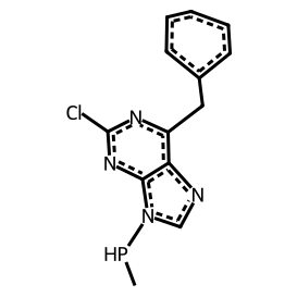 CPn1cnc2c(Cc3ccccc3)nc(Cl)nc21